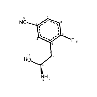 N#Cc1ccc(F)c(C[C@@H](N)O)c1